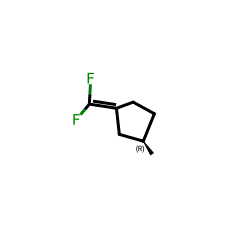 C[C@@H]1CCC(=C(F)F)C1